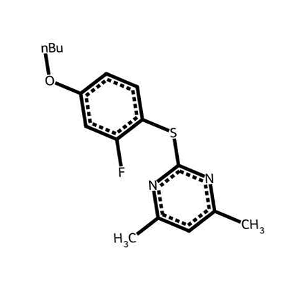 CCCCOc1ccc(Sc2nc(C)cc(C)n2)c(F)c1